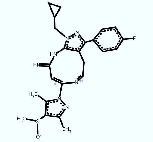 Cc1nn(C2=C/C(=N)Nc3c(c(-c4ccc(F)cc4)nn3CC3CC3)C/C=N\2)c(C)c1[S+](C)[O-]